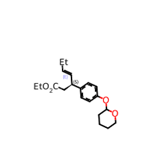 CC/C=C/[C@H](CC(=O)OCC)c1ccc(OC2CCCCO2)cc1